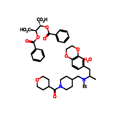 CCN(CC1CCN(C(=O)C2CCOCC2)CC1)C(C)Cc1ccc2c(c1)OCCO2.O.O=C(O[C@@H](C(=O)O)[C@@H](OC(=O)c1ccccc1)C(=O)O)c1ccccc1